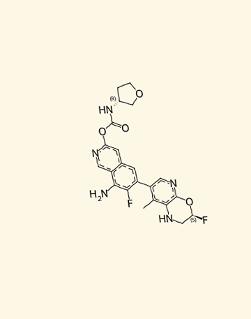 Cc1c(-c2cc3cc(OC(=O)N[C@@H]4CCOC4)ncc3c(N)c2F)cnc2c1NC[C@H](F)O2